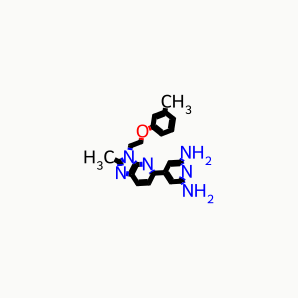 Cc1cccc(OCCn2c(C)nc3ccc(-c4cc(N)nc(N)c4)nc32)c1